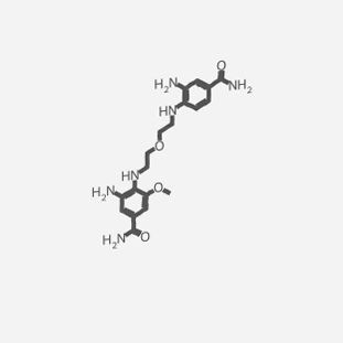 COc1cc(C(N)=O)cc(N)c1NCCOCCNc1ccc(C(N)=O)cc1N